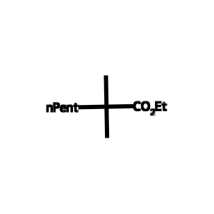 CCCCCC(C)(C)C(=O)OCC